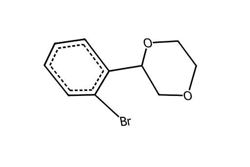 Brc1ccccc1C1COCCO1